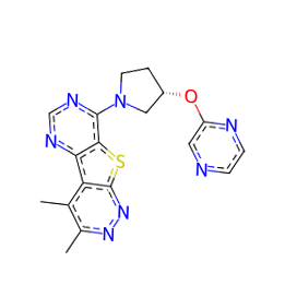 Cc1nnc2sc3c(N4CC[C@H](Oc5cnccn5)C4)ncnc3c2c1C